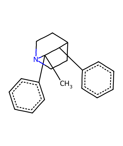 CC1(c2ccccc2)C(c2ccccc2)C2CCN1CC2